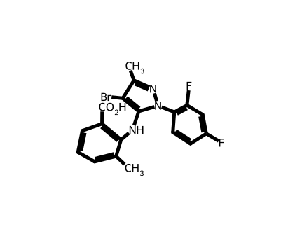 Cc1cccc(C(=O)O)c1Nc1c(Br)c(C)nn1-c1ccc(F)cc1F